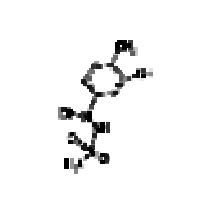 CCN(NS(C)(=O)=O)c1ccc(C)c(O)c1